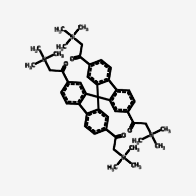 C[Si](C)(C)CC(=O)c1ccc2c(c1)C1(c3cc(C(=O)C[Si](C)(C)C)ccc3-2)c2cc(C(=O)C[Si](C)(C)C)ccc2-c2ccc(C(=O)C[Si](C)(C)C)cc21